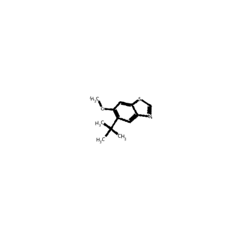 [CH2]Oc1cc2scnc2cc1C(C)(C)C